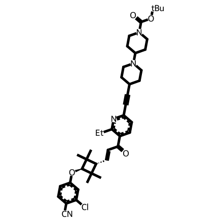 CCc1nc(C#CC2CCN(C3CCN(C(=O)OC(C)(C)C)CC3)CC2)ccc1C(=O)/C=C/[C@H]1C(C)(C)[C@H](Oc2ccc(C#N)c(Cl)c2)C1(C)C